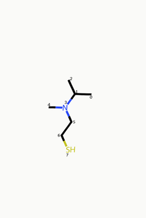 CC(C)N(C)CCS